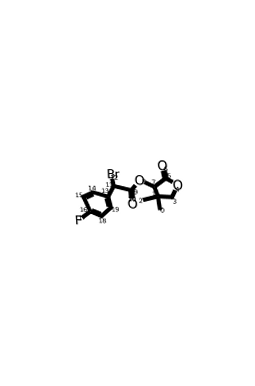 CC1(C)COC(=O)C1OC(=O)C(Br)c1ccc(F)cc1